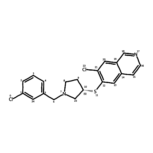 Clc1cccc(CN2CC[C@H](Sc3cc4ccncc4cc3Cl)C2)c1